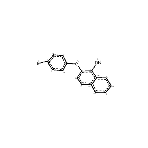 Oc1c(Oc2ccc(Br)cc2)ccc2ccccc12